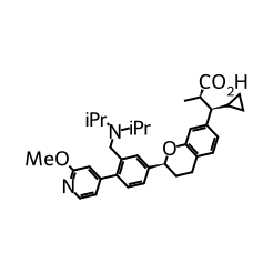 COc1cc(-c2ccc([C@@H]3CCc4ccc([C@H](C5CC5)[C@@H](C)C(=O)O)cc4O3)cc2CN(C(C)C)C(C)C)ccn1